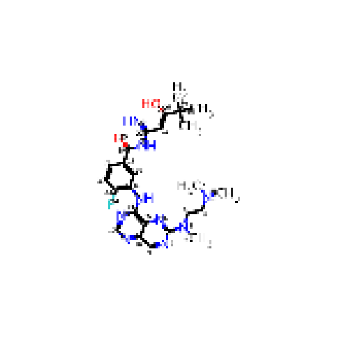 CN(C)CCN(C)c1ncc2ncnc(Nc3cc(C(=O)NC(=N)/C=C(\O)C(C)(C)C)ccc3F)c2n1